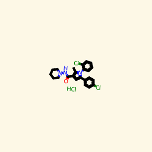 Cc1c(C(=O)NN2CCCCC2)cc(-c2ccc(Cl)cc2)n1-c1ccccc1Cl.Cl